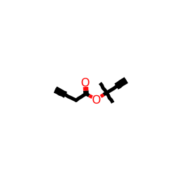 C#CCC(=O)OC(C)(C)C#C